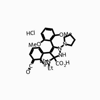 CCN(CC)C1(C(=O)O)NN(N2CCCC2)C(c2c(OC)cccc2OC)=C1C1=CC=CC(=C=O)C1C(C)C.Cl